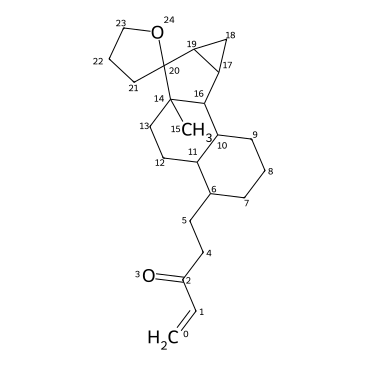 C=CC(=O)CCC1CCCC2C1CCC1(C)C2C2CC2C12CCCO2